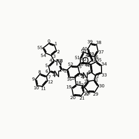 c1ccc(-c2cc(-c3ccccc3)nc(-c3cc(-c4ccccc4)c(-n4c5ccccc5c5ccc6c7ccccc7oc6c54)c(-c4ccccc4)c3)n2)cc1